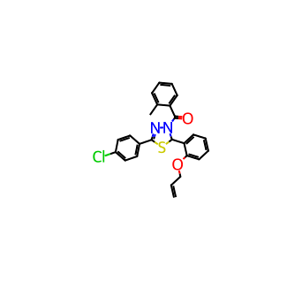 C=CCOc1ccccc1C1SC(c2ccc(Cl)cc2)=NN1C(=O)c1ccccc1C